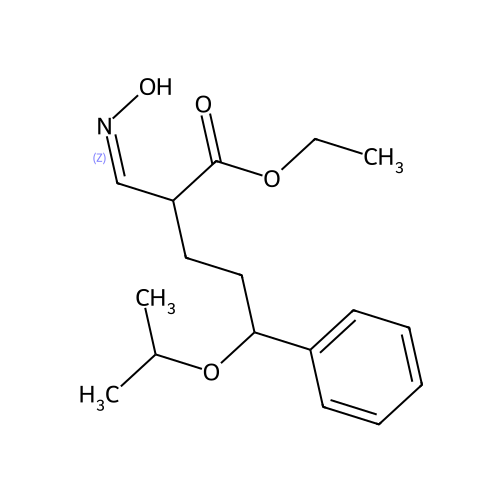 CCOC(=O)C(/C=N\O)CCC(OC(C)C)c1ccccc1